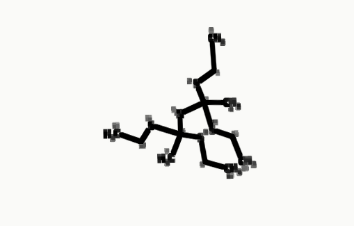 CCSC(C)([N]C(C)(SCC)SCC)SCC